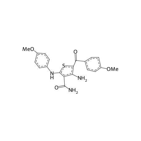 COc1ccc(Nc2sc(C(=O)c3ccc(OC)cc3)c(N)c2C(N)=O)cc1